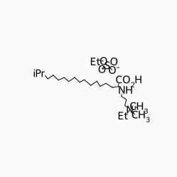 CCOS(=O)(=O)[O-].CC[N+](C)(C)CCCNC(CCCCCCCCCCCCCC(C)C)C(=O)O